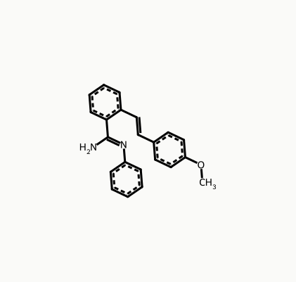 COc1ccc(C=Cc2ccccc2C(N)=Nc2ccccc2)cc1